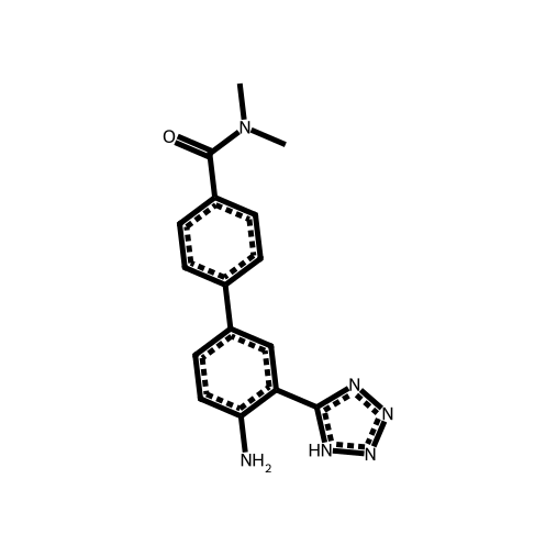 CN(C)C(=O)c1ccc(-c2ccc(N)c(-c3nnn[nH]3)c2)cc1